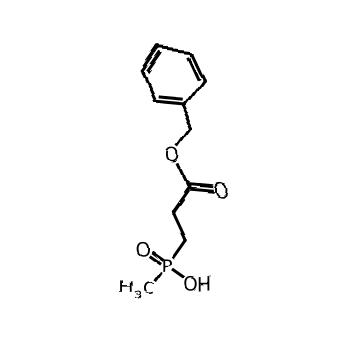 CP(=O)(O)CCC(=O)OCc1ccccc1